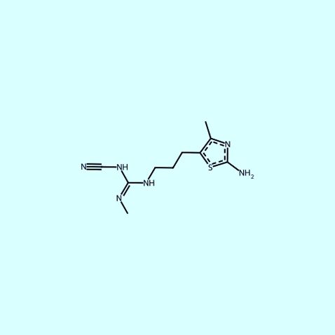 C/N=C(/NC#N)NCCCc1sc(N)nc1C